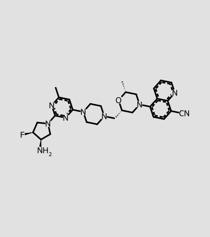 Cc1cc(N2CCN(C[C@H]3CN(c4ccc(C#N)c5ncccc45)C[C@@H](C)O3)CC2)nc(N2C[C@@H](N)[C@@H](F)C2)n1